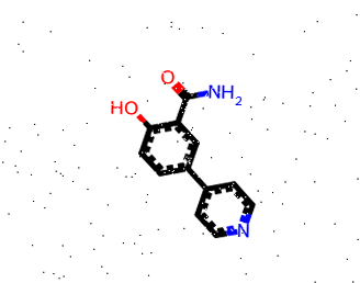 NC(=O)c1cc(-c2ccncc2)ccc1O